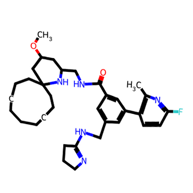 COC1CC(CNC(=O)c2cc(CNC3=NCCC3)cc(-c3ccc(F)nc3C)c2)NC2(CCCCCCCCC2)C1